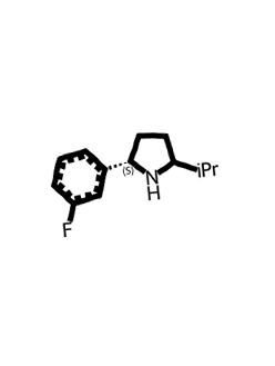 CC(C)C1CC[C@@H](c2cccc(F)c2)N1